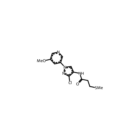 COc1cncc(-n2cc(NC(=O)CCSC)c(Cl)n2)c1